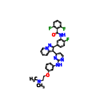 CN(C)CCOc1cccc(Nc2nccc(-c3c(-c4ccc(F)c(NC(=O)c5c(F)cccc5F)c4)nn4ccccc34)n2)c1